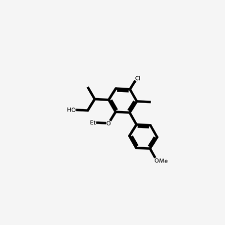 CCOc1c(C(C)CO)cc(Cl)c(C)c1-c1ccc(OC)cc1